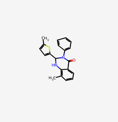 Cc1ccc(C2Nc3c(C)cccc3C(=O)N2c2ccccc2)s1